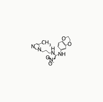 Cc1cncn1CCCNC(=C[N+](=O)[O-])Nc1ccc2c(c1)OCCO2